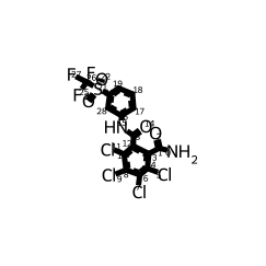 NC(=O)c1c(Cl)c(Cl)c(Cl)c(Cl)c1C(=O)Nc1cccc(S(=O)(=O)C(F)(F)F)c1